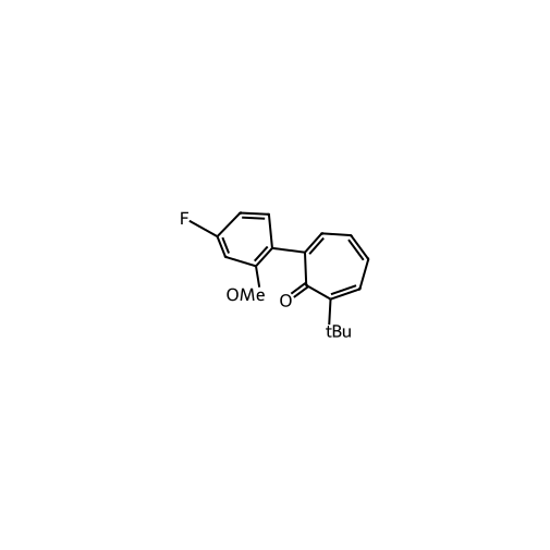 COc1cc(F)ccc1-c1ccccc(C(C)(C)C)c1=O